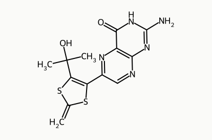 C=C1SC(c2cnc3nc(N)[nH]c(=O)c3n2)=C(C(C)(C)O)S1